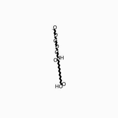 O=[C]CCOCCOCCOCCOCCNC(=O)CCCCCCCCCCCCC(=O)O